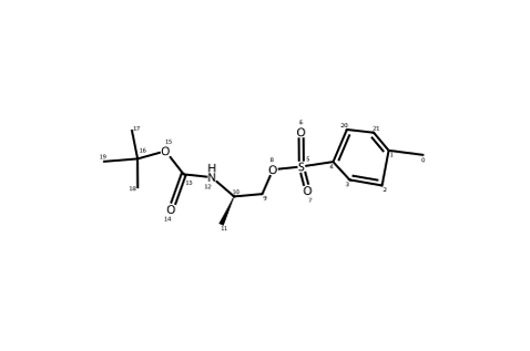 Cc1ccc(S(=O)(=O)OC[C@@H](C)NC(=O)OC(C)(C)C)cc1